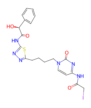 O=C(CI)Nc1ccn(CCCCc2nnc(NC(=O)[C@@H](O)c3ccccc3)s2)c(=O)n1